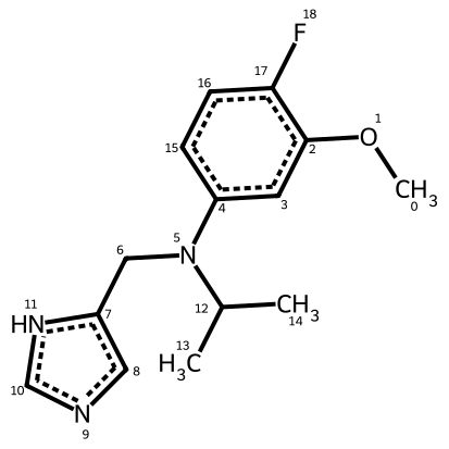 COc1cc(N(Cc2cnc[nH]2)C(C)C)ccc1F